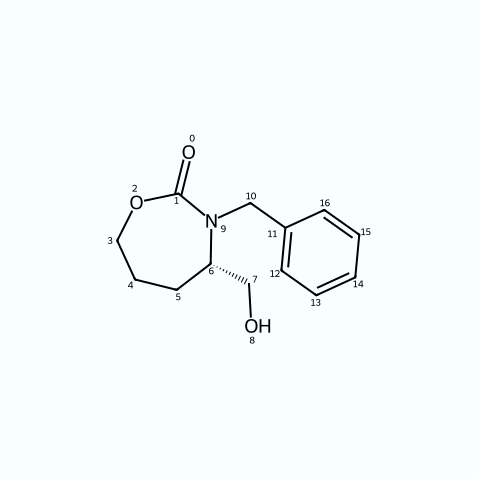 O=C1OCCC[C@@H](CO)N1Cc1ccccc1